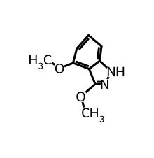 COc1cccc2[nH]nc(OC)c12